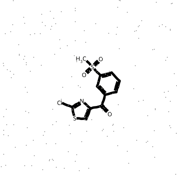 CS(=O)(=O)c1cccc(C(=O)c2csc(Cl)n2)c1